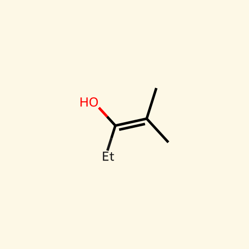 CCC(O)=C(C)C